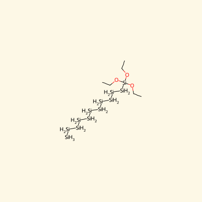 CCO[Si](OCC)(OCC)[SiH2][SiH2][SiH2][SiH2][SiH2][SiH2][SiH2][SiH2][SiH2][SiH2][SiH3]